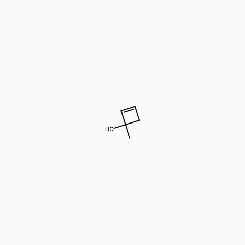 CC1(O)C=CC1